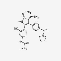 C=C(C)C(=O)Nc1ccc(-c2c(-c3ccc(C(=O)N4CCCC4)cc3)c3c(N)ncnc3n2C)c(C#N)c1